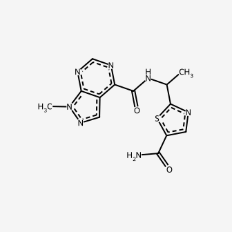 CC(NC(=O)c1ncnc2c1cnn2C)c1ncc(C(N)=O)s1